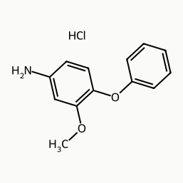 COc1cc(N)ccc1Oc1ccccc1.Cl